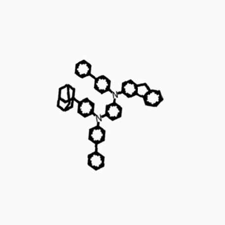 c1ccc(-c2ccc(N(c3ccc(C45CC6CC(CC(C6)C4)C5)cc3)c3cccc(N(c4ccc(-c5ccccc5)cc4)c4ccc5c(c4)-c4ccccc4C5)c3)cc2)cc1